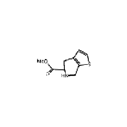 COC(=O)C1Cc2ccsc2CN1